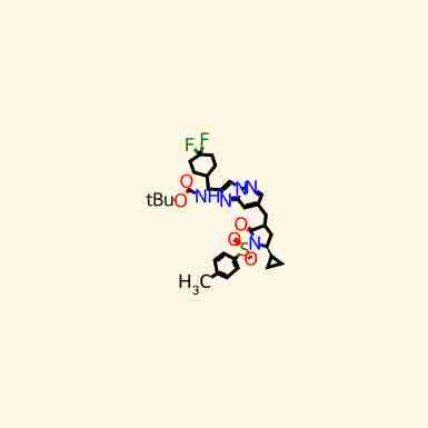 Cc1ccc(S(=O)(=O)N2C(=O)C(Cc3cnn4cc([C@@H](NC(=O)OC(C)(C)C)C5CCC(F)(F)CC5)nc4c3)C[C@H]2C2CC2)cc1